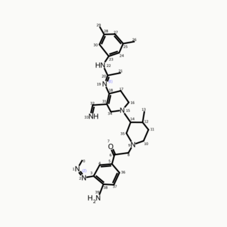 C/N=N\c1cc(C(=O)CN2CCC(C)C(N3CCC(/N=C(\C)Nc4cc(C)cc(C)c4)=C(C=N)C3)C2)ccc1N